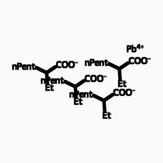 CCCCCC(CC)C(=O)[O-].CCCCCC(CC)C(=O)[O-].CCCCCC(CC)C(=O)[O-].CCCCCC(CC)C(=O)[O-].[Pb+4]